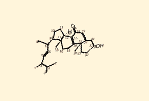 CC(C)C(C)/C=C/C(C)[C@H]1CC[C@H]2C3=C(CC[C@]12C)[C@@]1(C)CC[C@H](O)CC1=CC3=O